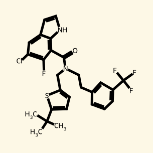 CC(C)(C)c1ccc(CN(CCc2cccc(C(F)(F)F)c2)C(=O)c2c(F)c(Cl)cc3cc[nH]c23)s1